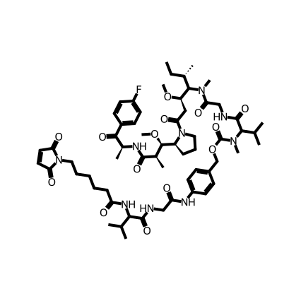 CC[C@H](C)C([C@@H](CC(=O)N1CCC[C@H]1[C@H](OC)[C@@H](C)C(=O)N[C@@H](C)C(=O)c1ccc(F)cc1)OC)N(C)C(=O)CNC(=O)C(C(C)C)N(C)C(=O)OCc1ccc(NC(=O)CNC(=O)C(NC(=O)CCCCCN2C(=O)C=CC2=O)C(C)C)cc1